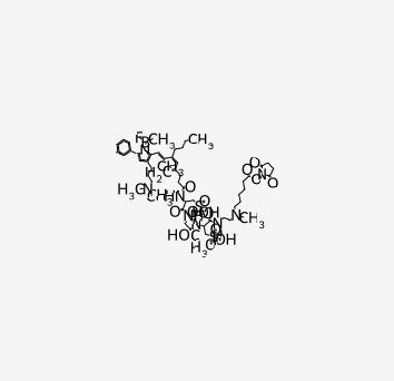 C=C(/C=C(CCCC)\C(C)=C\c1c(CCCN(C)C)cc(-c2ccccc2)n1B(C)F)CCC(=O)NC(CS(=O)(=O)O)C(=O)NCC(C)(O)NC(CS(=O)(=O)O)C(=O)NCCN(C)CCCCCC(=O)ON1C(=O)CCC1=O